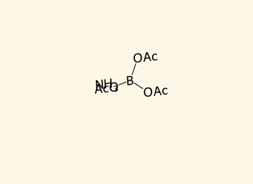 CC(=O)OB(OC(C)=O)OC(C)=O.N